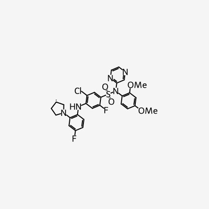 COc1ccc(N(c2cnccn2)S(=O)(=O)c2cc(Cl)c(Nc3ccc(F)cc3N3C[CH]CC3)cc2F)c(OC)c1